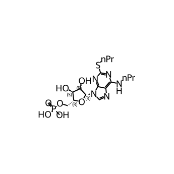 CCCNc1nc(SCCC)nc2c1ncn2[C@@H]1O[C@H](COP(=O)(O)O)[C@@H](O)[C@H]1O